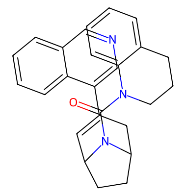 O=C(N1CCCc2ccccc21)N1C2C=C(c3cncc4ccccc34)CC1CC2